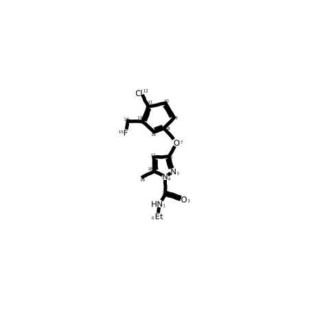 CCNC(=O)n1nc(Oc2ccc(Cl)c(CF)c2)cc1C